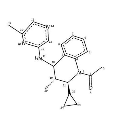 CC(=O)N1c2ccccc2C(Nc2cncc(C)n2)[C@@H](C)[C@@H]1C1CC1